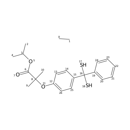 CC.CC(C)OC(=O)C(C)(C)Oc1ccc(C(S)(S)c2ccccc2)cc1